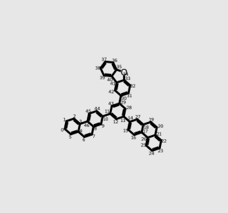 c1ccc2c(c1)ccc1cc(-c3cc(-c4ccc5c(ccc6ccccc65)c4)cc(-c4ccc5oc6ccccc6c5c4)c3)ccc12